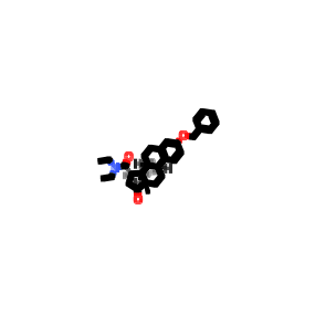 CCN(CC)C(=O)[C@H]1CC(=O)[C@@]2(C)CC[C@@H]3c4ccc(OCc5ccccc5)cc4CC[C@H]3[C@H]12